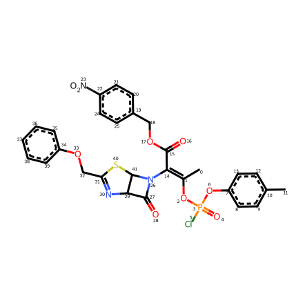 CC(OP(=O)(Cl)Oc1ccc(C)cc1)=C(C(=O)OCc1ccc([N+](=O)[O-])cc1)N1C(=O)C2N=C(COc3ccccc3)SC21